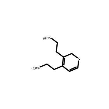 CCCCCCCCCCCCC1=C(CCCCCCCCCCCC)CSC=C1